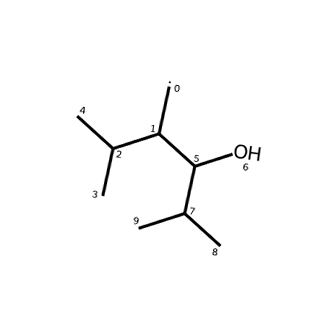 [CH2]C(C(C)C)C(O)C(C)C